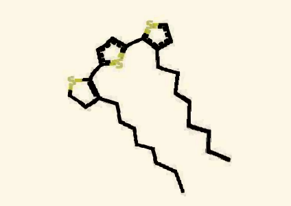 CCCCCCCCC1=C(c2ccc(-c3sccc3CCCCCCCC)s2)SCC1